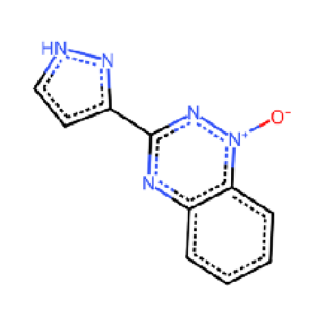 [O-][n+]1nc(-c2cc[nH]n2)nc2ccccc21